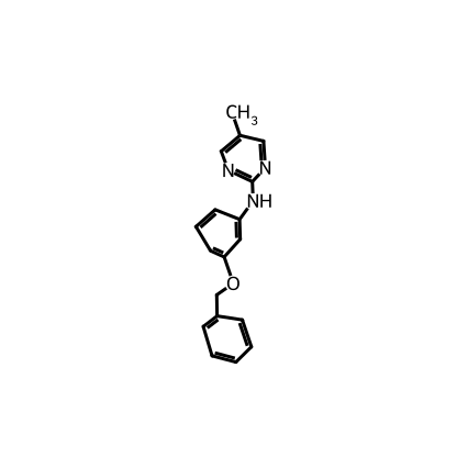 Cc1cnc(Nc2cccc(OCc3ccccc3)c2)nc1